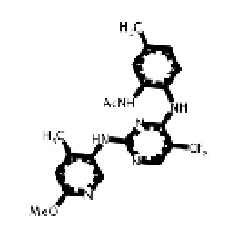 COc1cc(C)c(Nc2ncc(C(F)(F)F)c(Nc3ccc(C)cc3NC(C)=O)n2)cn1